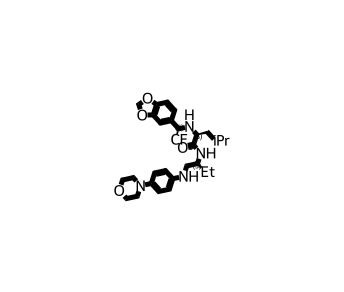 CC[C@@H](CNc1ccc(N2CCOCC2)cc1)NC(=O)[C@H](CC(C)C)N[C@@H](c1ccc2c(c1)OCO2)C(F)(F)F